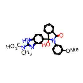 COc1cccc(N2C(=O)c3ccccc3C2(O)c2ccc3[nH]c(N(C)C(=O)O)nc3c2)c1